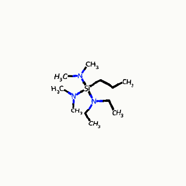 CCC[Si](N(C)C)(N(C)C)N(CC)CC